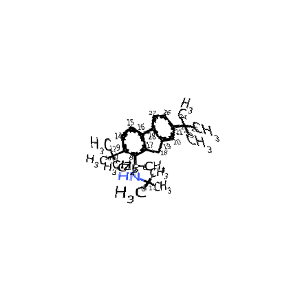 CC(C)(C)[NH][Zr]([CH3])([CH3])[c]1c(C(C)(C)C)ccc2c1Cc1cc(C(C)(C)C)ccc1-2